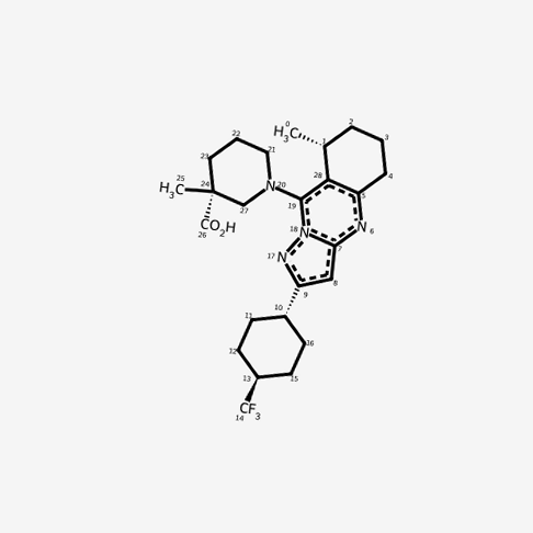 C[C@@H]1CCCc2nc3cc([C@H]4CC[C@H](C(F)(F)F)CC4)nn3c(N3CCC[C@@](C)(C(=O)O)C3)c21